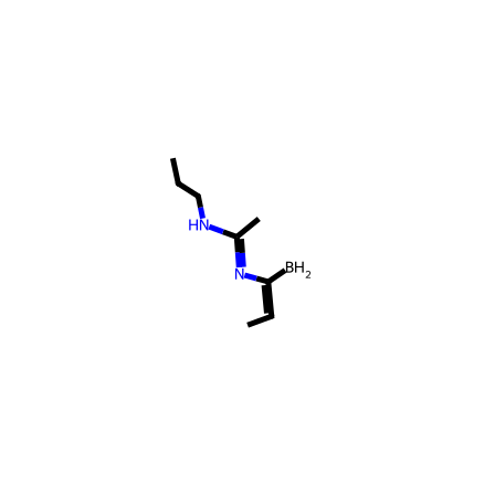 BC(=C/C)/N=C(\C)NCCC